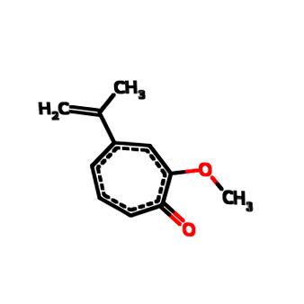 C=C(C)c1cccc(=O)c(OC)c1